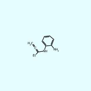 C=C=C(CC)Nc1ccccc1N